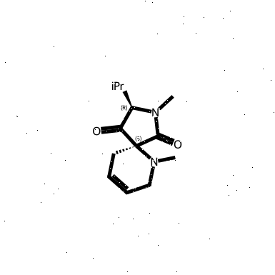 CC(C)[C@@H]1C(=O)[C@@]2(CC=CCN2C)C(=O)N1C